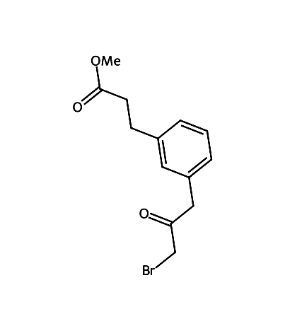 COC(=O)CCc1cccc(CC(=O)CBr)c1